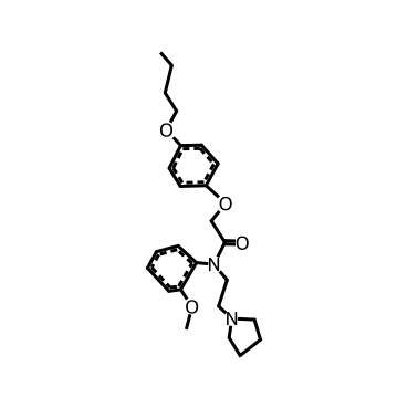 CCCCOc1ccc(OCC(=O)N(CCN2CCCC2)c2ccccc2OC)cc1